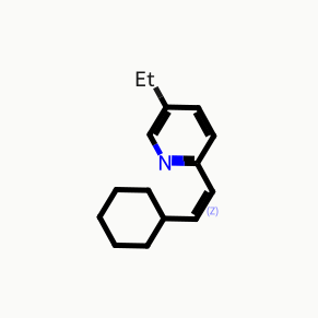 CCc1ccc(/C=C\C2CCCCC2)nc1